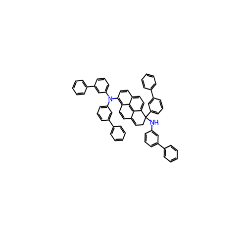 C1=c2ccc3c(N(c4cccc(-c5ccccc5)c4)c4cccc(-c5ccccc5)c4)ccc4ccc(c2c43)C(Nc2cccc(-c3ccccc3)c2)(c2cccc(-c3ccccc3)c2)C1